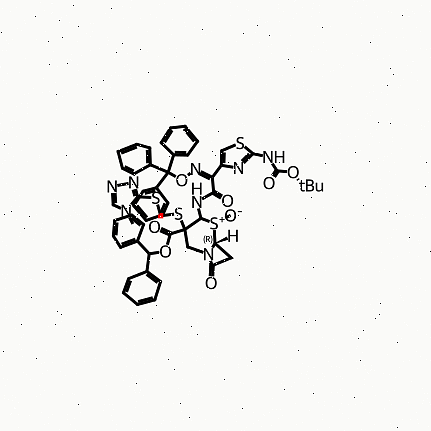 Cn1cnnc1SCSC1(C(=O)OC(c2ccccc2)c2ccccc2)CN2C(=O)C[C@H]2[S+]([O-])C1NC(=O)C(=NOC(c1ccccc1)(c1ccccc1)c1ccccc1)c1csc(NC(=O)OC(C)(C)C)n1